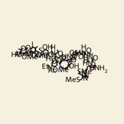 CCN(C(C)=O)C1COC(OC2C(O[C@H]3C#C/C=C\C#C[C@]4(O)CC(=O)C(NC(=O)OC)=C3/C4=C\CSSC(C)(C)CC(=O)NNC(=O)[C@H](C)NC(=O)[C@H](CC(N)=O)NC(=O)CCCn3nnc(CSC)c3CSC)OC(C)C(NOC3CC(O)C(SC(=O)c4c(C)c(I)c(OC5OC(C)C(O)C(OC)C5O)c(OC)c4OC)C(C)O3)C2O)CC1OC